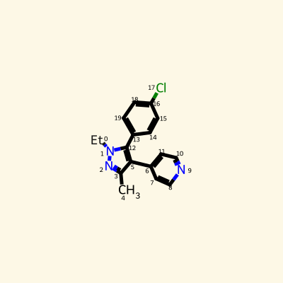 CCn1nc(C)c(-c2ccncc2)c1-c1ccc(Cl)cc1